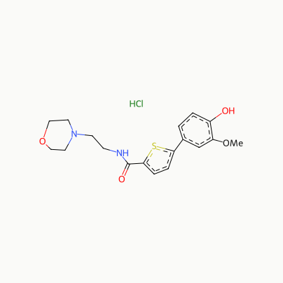 COc1cc(-c2ccc(C(=O)NCCN3CCOCC3)s2)ccc1O.Cl